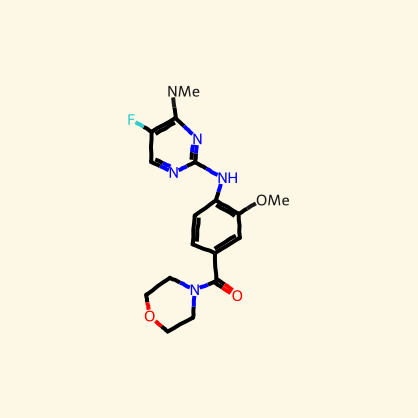 CNc1nc(Nc2ccc(C(=O)N3CCOCC3)cc2OC)ncc1F